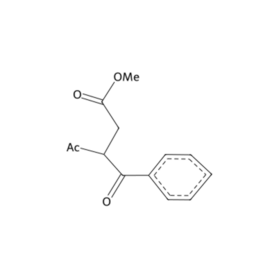 COC(=O)CC(C(C)=O)C(=O)c1ccccc1